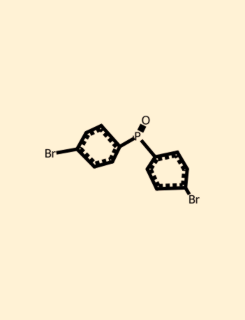 O=[P](c1ccc(Br)cc1)c1ccc(Br)cc1